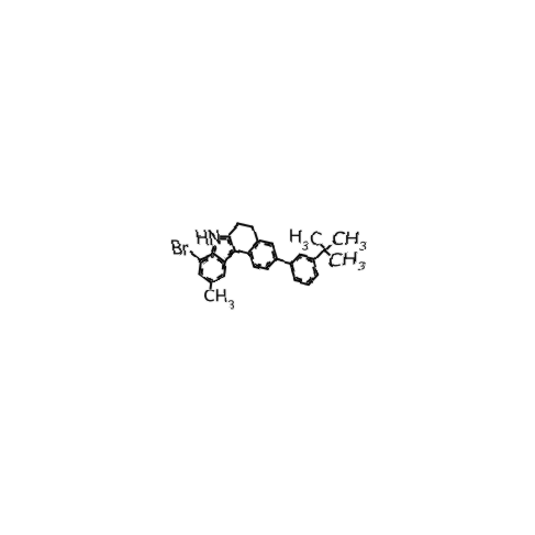 Cc1cc(Br)c2[nH]c3c(c2c1)-c1ccc(-c2cccc(C(C)(C)C)c2)cc1CC3